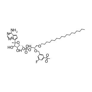 CCCCCCCCCCCCCCCCCCOC[C@H](COP(=O)(O)OC[C@H]1O[C@@](C)(c2ccc3c(N)ncnn23)[C@H](O)[C@@H]1O)OCc1cc(F)cc(S(C)(=O)=O)c1